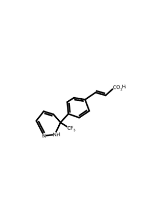 O=C(O)C=Cc1ccc(C2(C(F)(F)F)C=CC=NN2)cc1